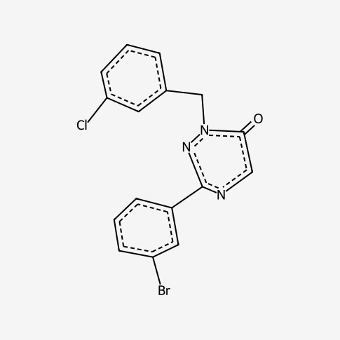 O=c1cnc(-c2cccc(Br)c2)nn1Cc1cccc(Cl)c1